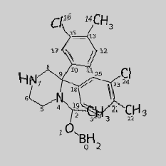 BOC(C)N1CCNCC1(c1ccc(C)c(Cl)c1)c1ccc(C)c(Cl)c1